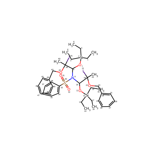 CC[Si](CC)(CC)OC(N(C(O[Si](CC)(CC)CC)C(C)(I)OCc1ccccc1)S(=O)(=O)c1ccccc1)C(C)(I)OCc1ccccc1